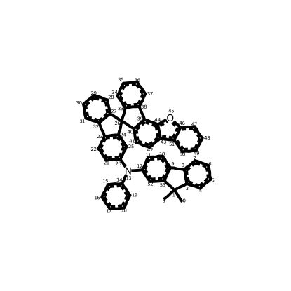 CC1(C)c2ccccc2-c2ccc(N(c3ccccc3)c3ccc4c(c3)C3(c5ccccc5-4)c4ccccc4-c4c3ccc3c4oc4ccccc43)cc21